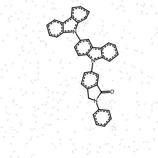 O=C1c2cc(-n3c4ccccc4c4cc(-n5c6ccccc6c6ccccc65)ccc43)ccc2CN1c1ccccc1